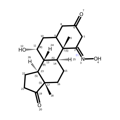 C[C@]12/C(=N/O)CC(=O)CC1C[C@@H](O)[C@@H]1[C@@H]2CC[C@]2(C)C(=O)CC[C@@H]12